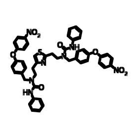 O=C(Nc1ccccc1)N(CCc1csc(CCN(Cc2ccc(Oc3ccc([N+](=O)[O-])cc3)cc2)C(=O)Nc2ccccc2)n1)Cc1ccc(Oc2ccc([N+](=O)[O-])cc2)cc1